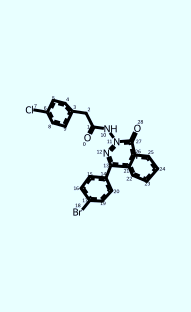 O=C(Cc1ccc(Cl)cc1)Nn1nc(-c2ccc(Br)cc2)c2ccccc2c1=O